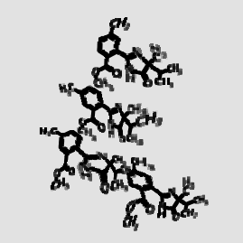 COC(=O)c1cc(C)ccc1C1=NC(C)(C(C)C)C(=O)N1.COC(=O)c1cc(C)ccc1C1=NC(C)(C(C)C)C(=O)N1.COC(=O)c1ccc(C)cc1C1=NC(C)(C(C)C)C(=O)N1.COC(=O)c1ccc(C)cc1C1=NC(C)(C(C)C)C(=O)N1